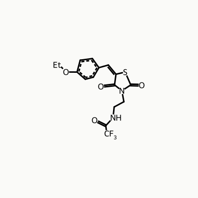 CCOc1ccc(/C=C2/SC(=O)N(CCNC(=O)C(F)(F)F)C2=O)cc1